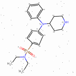 CCN(CC)S(=O)(=O)c1ccc(N(c2ccccc2)C2CCNCC2)cc1